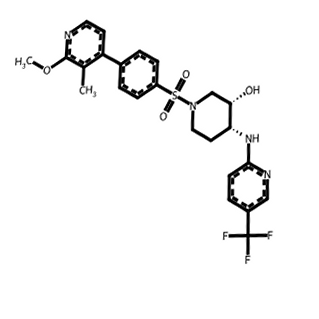 COc1nccc(-c2ccc(S(=O)(=O)N3CC[C@@H](Nc4ccc(C(F)(F)F)cn4)[C@@H](O)C3)cc2)c1C